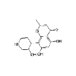 Cc1cc(=O)c2c(O)cc(O)c(C3CCNCC3O)c2o1